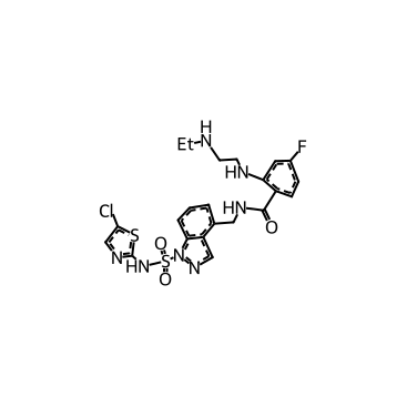 CCNCCNc1cc(F)ccc1C(=O)NCc1cccc2c1cnn2S(=O)(=O)Nc1ncc(Cl)s1